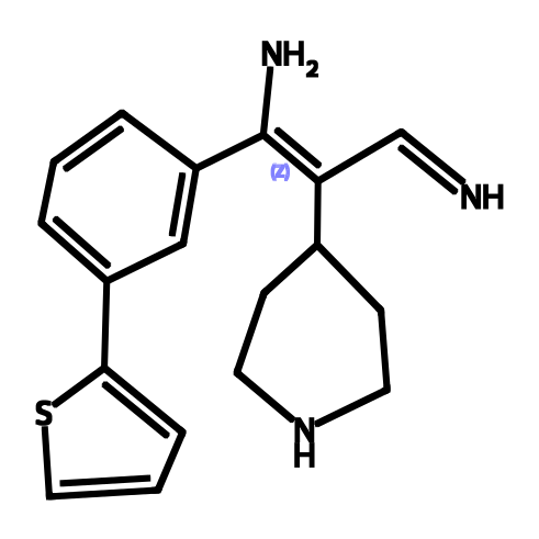 N=C/C(=C(\N)c1cccc(-c2cccs2)c1)C1CCNCC1